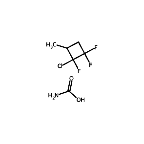 CC1CC(F)(F)C1(F)Cl.NC(=O)O